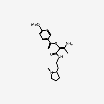 C=C(S/C(C(=O)NCCC1CCCN1C)=C(/C)N)c1ccc(OC)cc1